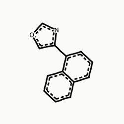 c1ccc2c(-c3cocn3)cccc2c1